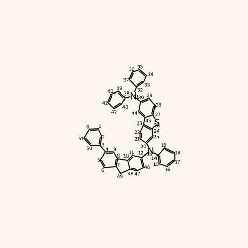 c1ccc(-c2ccc3c(c2)-c2cc(N(c4ccccc4)c4ccc5c(c4)sc4ccc(N(c6ccccc6)c6ccccc6)cc45)ccc2C3)cc1